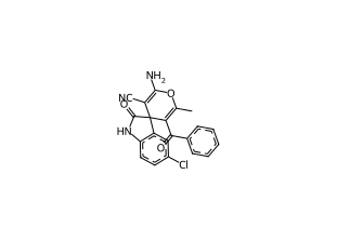 CC1=C(C(=O)c2ccccc2)C2(C(=O)Nc3ccc(Cl)cc32)C(C#N)=C(N)O1